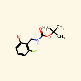 CC(C)(C)OC(=O)NCc1c(F)cccc1Br